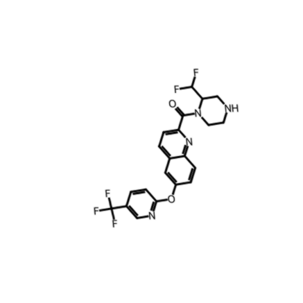 O=C(c1ccc2cc(Oc3ccc(C(F)(F)F)cn3)ccc2n1)N1CCNCC1C(F)F